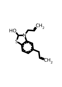 C=CCc1ccc2c(c1)N(CC=C)C(O)S2